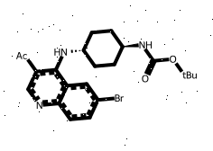 CC(=O)c1cnc2ccc(Br)cc2c1N[C@H]1CC[C@H](NC(=O)OC(C)(C)C)CC1